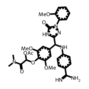 COc1ccccc1-n1nc(C(Nc2ccc(C(=N)N)cc2)c2cc(OC)c(OC(OC(C)=O)C(=O)N(C)C)c(OC)c2)[nH]c1=O